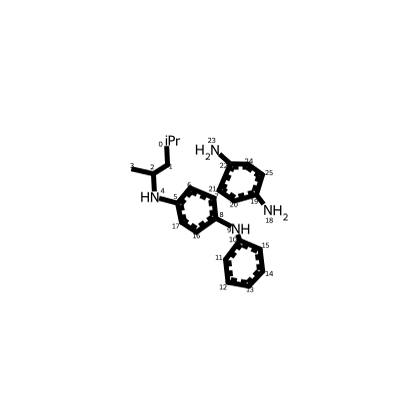 CC(C)CC(C)Nc1ccc(Nc2ccccc2)cc1.Nc1ccc(N)cc1